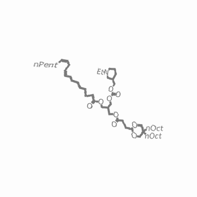 CCCCC/C=C\C/C=C\CCCCCCCC(=O)OCC(COC(=O)CCC1OCC(CCCCCCCC)(CCCCCCCC)CO1)COC(=O)OCC1CCCN(CC)C1